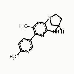 Cc1ccc(-c2nc3c(cc2C)N2CC[C@@H](C2)N3)cn1